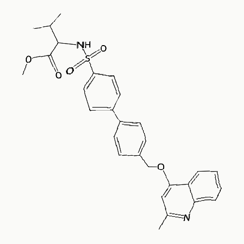 COC(=O)C(NS(=O)(=O)c1ccc(-c2ccc(COc3cc(C)nc4ccccc34)cc2)cc1)C(C)C